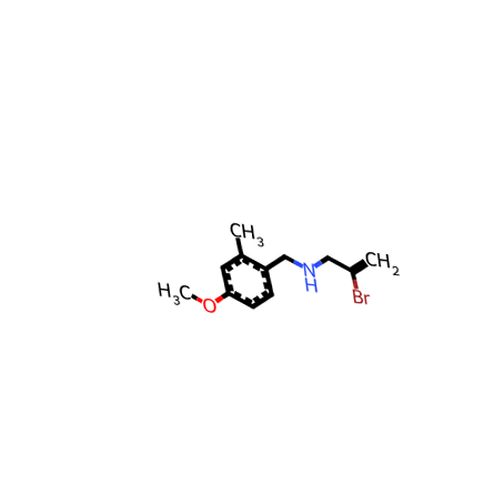 C=C(Br)CNCc1ccc(OC)cc1C